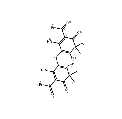 CCCC(=O)C1=C(O)C(CC2=C(O)C(C)(C)C(=O)C(C(=O)CCC)=C2O)=C(O)C(C)(C)C1=O